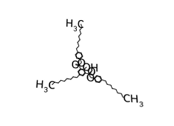 CCCCCCCCCc1ccc(OC(=O)c2cc(CCCCCCCCC)cc(C(=O)Oc3ccc(CCCCCCCCC)cc3)c2O)cc1